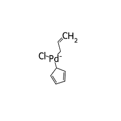 C=C[CH2][Pd-]([Cl])[CH]1C=CC=C1